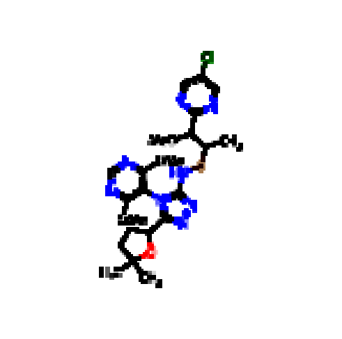 COc1ncnc(OC)c1-n1c(NSC(C)C(OC)c2ncc(Cl)cn2)nnc1C1CCC(C)(C)O1